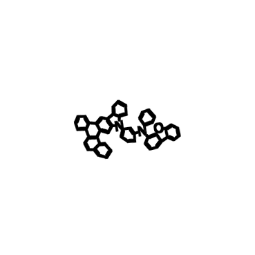 c1ccc(N(c2cccc(-n3c4ccccc4c4cc5c6ccccc6c6ccc7ccccc7c6c5cc43)c2)c2cccc3c2oc2ccccc23)cc1